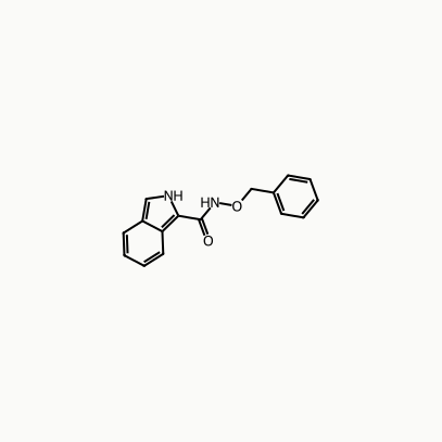 O=C(NOCc1ccccc1)c1[nH]cc2ccccc12